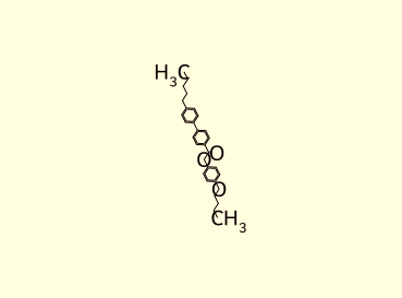 CCCCCc1ccc(-c2ccc(C(=O)Oc3ccc(OCCCC)cc3)cc2)cc1